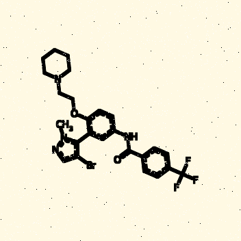 Cn1ncc(Br)c1-c1cc(NC(=O)c2ccc(C(F)(F)F)cc2)ccc1OCCN1CCCCC1